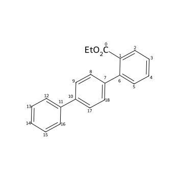 CCOC(=O)c1ccccc1-c1ccc(-c2ccccc2)cc1